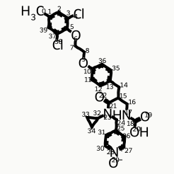 Cc1cc(Cl)c(OCCOc2ccc(CC(CNC(=O)O)C(=O)N(Cc3cc[n+]([O-])cc3)C3CC3)cc2)c(Cl)c1